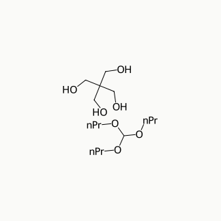 CCCOC(OCCC)OCCC.OCC(CO)(CO)CO